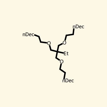 CCCCCCCCCCCCOCC(CC)(COCCCCCCCCCCCC)COCCCCCCCCCCCC